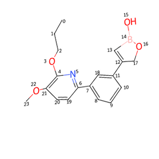 CCCOc1nc(-c2cccc(C3=CB(O)OC3)c2)ccc1OC